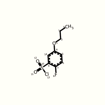 CCCOc1ccc(F)c(S(=O)(=O)Cl)c1